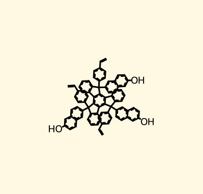 C=Cc1ccc(C2(c3ccc4cc(O)ccc4c3)c3ccccc3-c3c2c2c(c4c3C(c3ccc(C=C)cc3)(c3ccc5cc(O)ccc5c3)c3ccccc3-4)C(c3ccc(C=C)cc3)(c3ccc4cc(O)ccc4c3)c3ccccc3-2)cc1